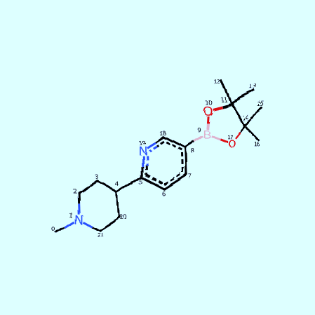 CN1CCC(c2ccc(B3OC(C)(C)C(C)(C)O3)cn2)CC1